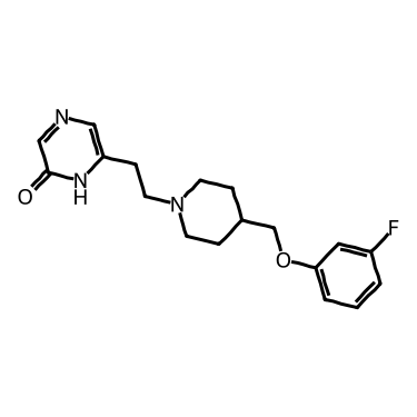 O=c1cncc(CCN2CCC(COc3cccc(F)c3)CC2)[nH]1